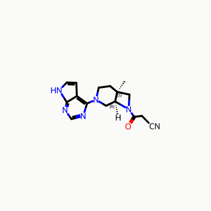 C[C@@]12CCN(c3ncnc4[nH]ccc34)C[C@@H]1N(C(=O)CC#N)C2